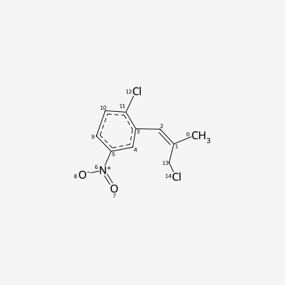 CC(=Cc1cc([N+](=O)[O-])ccc1Cl)CCl